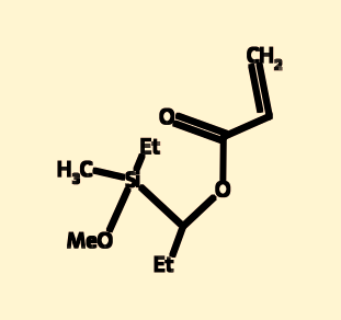 C=CC(=O)OC(CC)[Si](C)(CC)OC